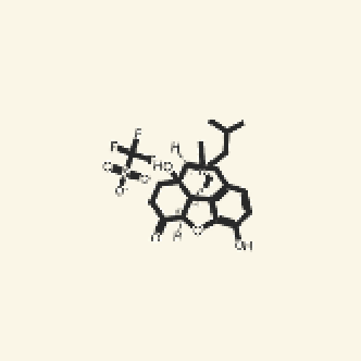 CC(C)C[N+]1(C)CC[C@]23c4c5ccc(O)c4O[C@H]2C(=O)CCC3(O)[C@H]1C5.O=S(=O)([O-])C(F)(F)F